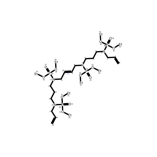 C=CCN(CCCN(C/C=C/CN(CCCN(CC=C)P(=O)(OCC)OCC)P(=O)(OCC)OCC)P(=O)(OCC)OCC)P(=O)(OCC)OCC